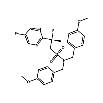 COc1ccc(CN(Cc2ccc(OC)cc2)S(=O)(=O)C[C@@](C)(F)c2ncc(F)cn2)cc1